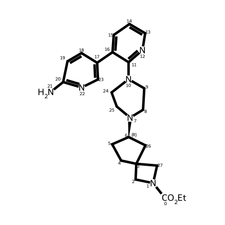 CCOC(=O)N1CC2(CC[C@@H](N3CCN(c4ncccc4-c4ccc(N)nc4)CC3)C2)C1